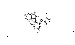 C=CC(=O)Oc1cc(F)cc(F)c1-n1ccc2ccccc21